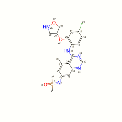 Cc1cc(N=S(C)(C)=O)cc2ncnc(Nc3ccc(F)cc3OC3CNOC3)c12